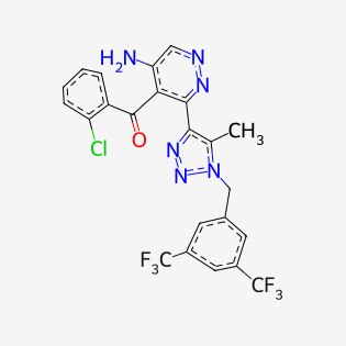 Cc1c(-c2nncc(N)c2C(=O)c2ccccc2Cl)nnn1Cc1cc(C(F)(F)F)cc(C(F)(F)F)c1